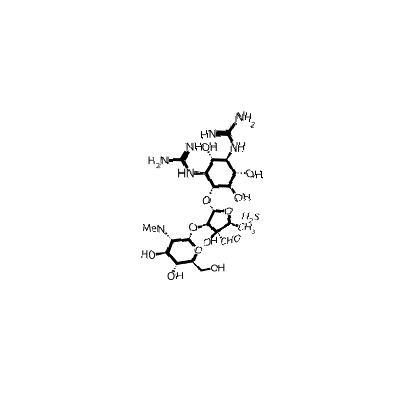 CN[C@@H]1[C@H](O[C@H]2[C@H](O[C@H]3[C@H](O)[C@@H](O)[C@H](NC(=N)N)[C@@H](O)[C@@H]3NC(=N)N)O[C@@H](C)[C@]2(O)C=O)O[C@@H](CO)[C@H](O)[C@H]1O.S